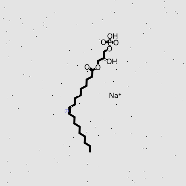 CCCCCCCC/C=C\CCCCCCCC(=O)OC[C@@H](O)COP(=O)([O-])O.[Na+]